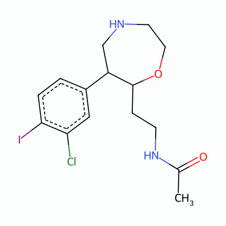 CC(=O)NCCC1OCCNCC1c1ccc(I)c(Cl)c1